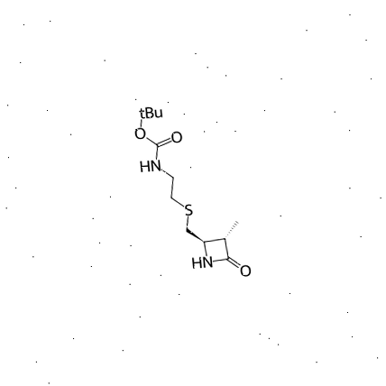 C[C@@H]1C(=O)N[C@H]1CSCCNC(=O)OC(C)(C)C